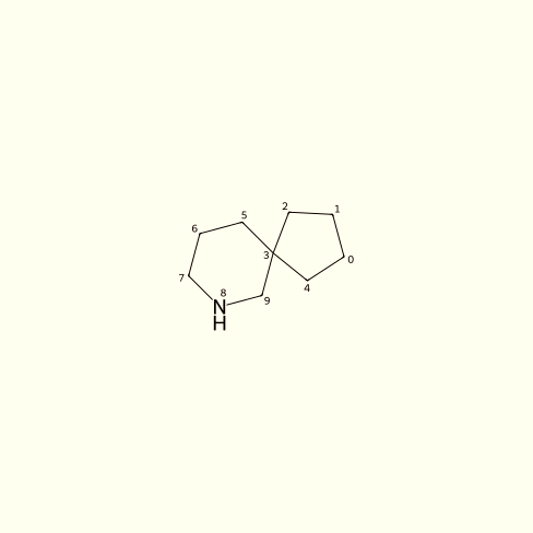 C1CCC2(C1)CCCNC2